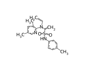 C=CN(C(=C)S(=O)(=O)Nc1ccc(C)cc1)c1ncc(C)cc1C